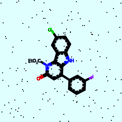 CCOC(=O)n1c(=O)cc(-c2cccc(I)c2)c2[nH]c3ccc(Cl)cc3c21